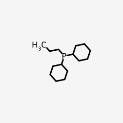 CCCP(C1CCCCC1)C1CCCCC1